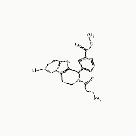 COC(=O)c1cccc(C2c3[nH]c4ccc(Cl)cc4c3CCN2C(=O)CCN)c1